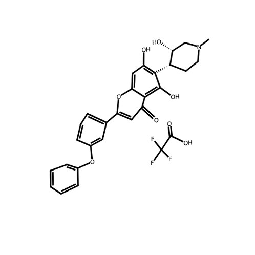 CN1CC[C@H](c2c(O)cc3oc(-c4cccc(Oc5ccccc5)c4)cc(=O)c3c2O)[C@H](O)C1.O=C(O)C(F)(F)F